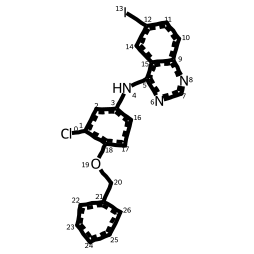 Clc1cc(Nc2ncnc3ccc(I)cc23)ccc1OCc1ccccc1